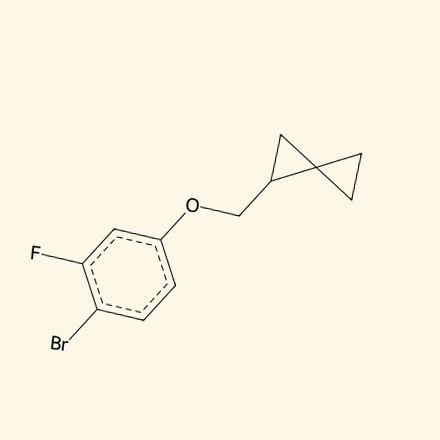 Fc1cc(OCC2CC23CC3)ccc1Br